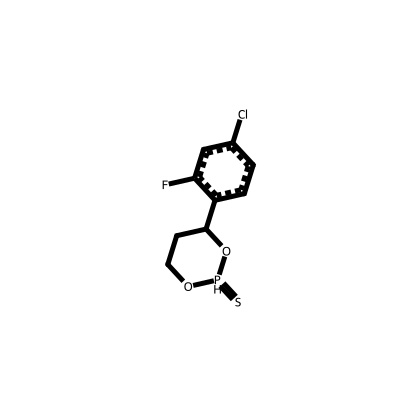 Fc1cc(Cl)ccc1C1CCO[PH](=S)O1